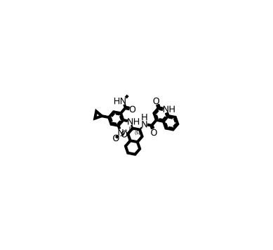 CNC(=O)c1cc(C2CC2)cc([N+](=O)[O-])c1N[C@@H]1CC2CCCCC2C[C@@H]1NC(=O)c1cc(=O)[nH]c2ccccc12